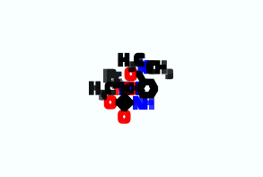 CC(C)[C@@H](C)Nc1c(Nc2cccc(C(=O)N(C)C)c2O)c(=O)c1=O